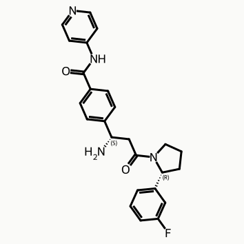 N[C@@H](CC(=O)N1CCC[C@@H]1c1cccc(F)c1)c1ccc(C(=O)Nc2ccncc2)cc1